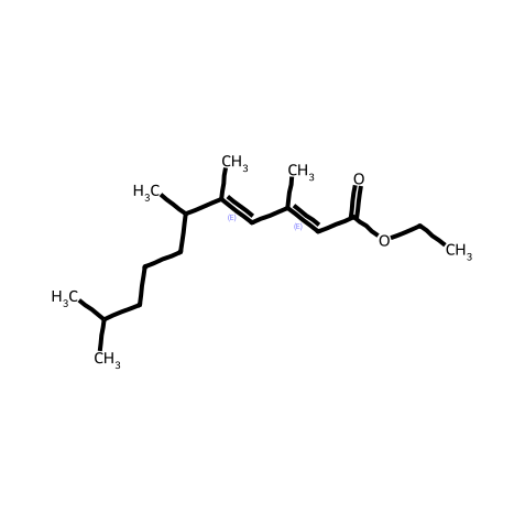 CCOC(=O)/C=C(C)/C=C(\C)C(C)CCCC(C)C